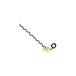 CCCCCCCCCCCCCCCCCC[PH](C)(C)Cc1ccccc1